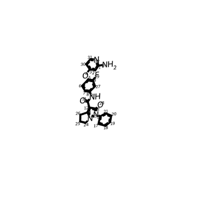 Nc1cc(Oc2ccc(NC(=O)c3c4n(n(-c5ccccc5)c3=O)CCC4)cc2F)ccn1